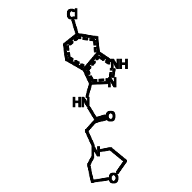 O=C(CN1CCOCC1)Nc1n[nH]c2cc(Cl)ccc12